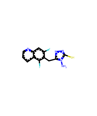 Nn1c(S)nnc1Cc1c(F)cc2ncccc2c1F